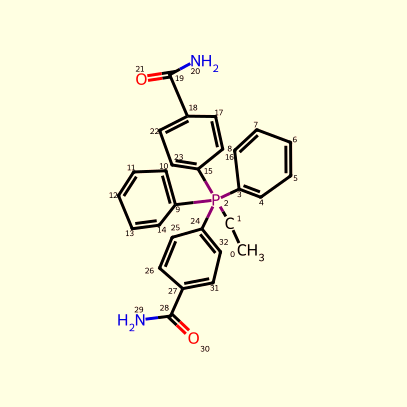 CCP(c1ccccc1)(c1ccccc1)(c1ccc(C(N)=O)cc1)c1ccc(C(N)=O)cc1